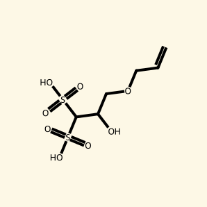 C=CCOCC(O)C(S(=O)(=O)O)S(=O)(=O)O